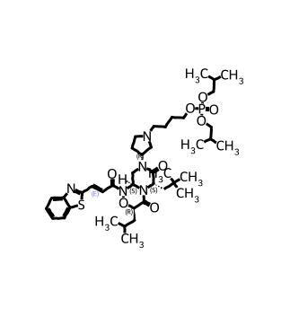 CC(C)COP(=O)(OCCCCN1CC[C@@H](N2C[C@@H]3N(C(=O)/C=C/c4nc5ccccc5s4)O[C@H](CC(C)C)C(=O)N3[C@@H](CC(C)(C)C)C2=O)C1)OCC(C)C